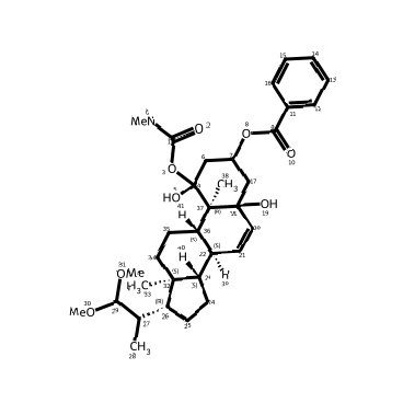 CNC(=O)OC1(O)CC(OC(=O)c2ccccc2)CC2(O)C=C[C@H]3[C@@H]4CC[C@H](C(C)C(OC)OC)[C@@]4(C)CC[C@@H]3[C@]21C